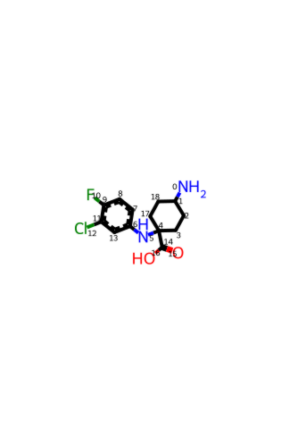 NC1CCC(Nc2ccc(F)c(Cl)c2)(C(=O)O)CC1